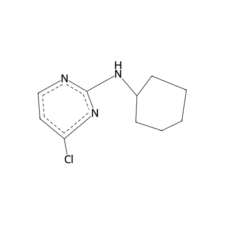 Clc1ccnc(NC2CCCCC2)n1